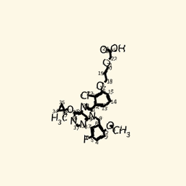 COc1ccc(F)cc1Cn1c(-c2cccc(OCCCOCC(=O)O)c2Cl)nc2c(OC3(C)CC3)ncnc21